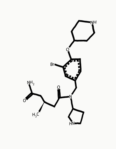 C[C@@H](CC(N)=O)CC(=O)N(Cc1ccc(OC2CCNCC2)c(Br)c1)C1CCNC1